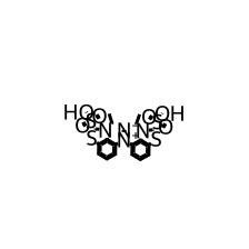 CCN1c2c(cccc2[N+](=[N-])c2cccc3c2N(CC)C(S(=O)(=O)O)S3)SC1S(=O)(=O)O